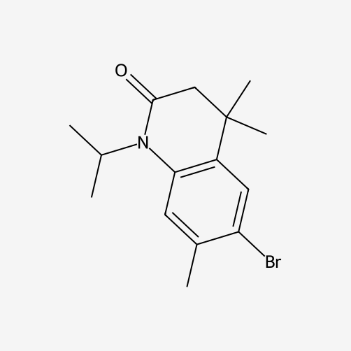 Cc1cc2c(cc1Br)C(C)(C)CC(=O)N2C(C)C